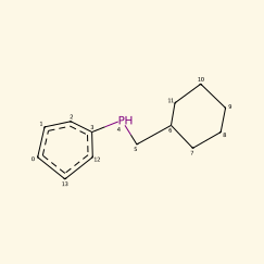 c1ccc(PCC2CCCCC2)cc1